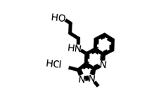 Cc1nn(C)c2nc3ccccc3c(NCCCO)c12.Cl